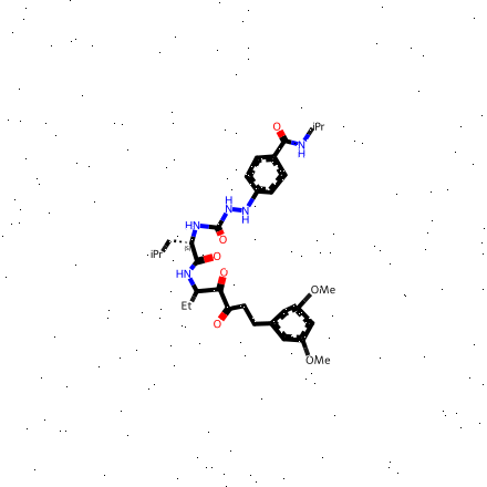 CCC(NC(=O)[C@H](CC(C)C)NC(=O)NNc1ccc(C(=O)NC(C)C)cc1)C(=O)C(=O)CCc1cc(OC)cc(OC)c1